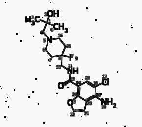 CC(C)(O)CN1CCC(F)(CNC(=O)c2cc(Cl)c(N)c3ccoc23)CC1